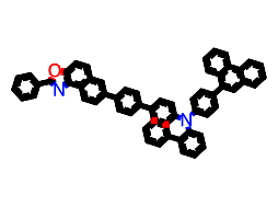 c1ccc(-c2nc3c(ccc4cc(-c5ccc(-c6ccc(N(c7ccc(-c8cc9ccccc9c9ccccc89)cc7)c7ccccc7-c7ccccc7)cc6)cc5)ccc43)o2)cc1